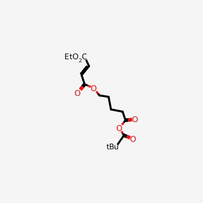 CCOC(=O)C=CC(=O)OCCCCC(=O)OC(=O)C(C)(C)C